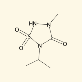 CC(C)N1C(=O)N(C)NS1(=O)=O